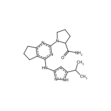 CC(C)c1cc(Nc2nc(N3CCCC3C(N)=O)nc3c2CCC3)n[nH]1